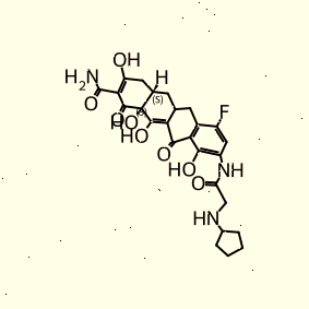 NC(=O)C1=C(O)C[C@@H]2CC3Cc4c(F)cc(NC(=O)CNC5CCCC5)c(O)c4C(=O)C3=C(O)[C@]2(O)C1=O